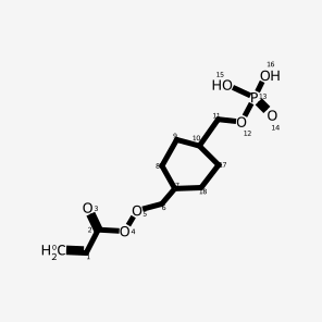 C=CC(=O)OOCC1CCC(COP(=O)(O)O)CC1